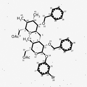 CC(=O)OC[C@H]1O[C@H](C[C@H]2[C@H](C)[C@@H](COC(C)=O)O[C@H](Oc3cccc(Br)c3)[C@H]2OCc2ccccc2)[C@@H](OCc2ccccc2)[C@@H](C)[C@@H]1C